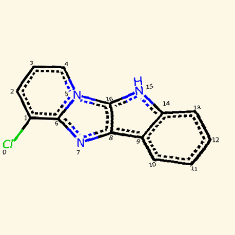 Clc1cccn2c1nc1c3ccccc3[nH]c12